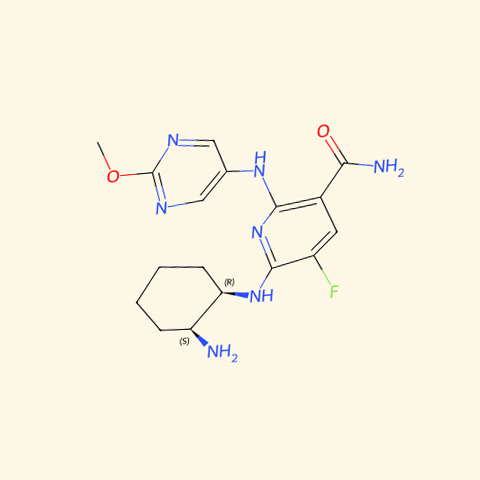 COc1ncc(Nc2nc(N[C@@H]3CCCC[C@@H]3N)c(F)cc2C(N)=O)cn1